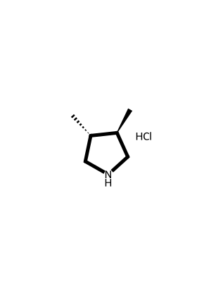 C[C@H]1CNC[C@@H]1C.Cl